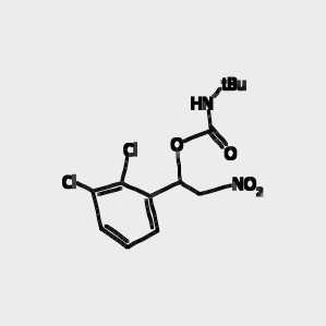 CC(C)(C)NC(=O)OC(C[N+](=O)[O-])c1cccc(Cl)c1Cl